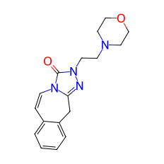 O=c1n(CCN2CCOCC2)nc2n1C=Cc1ccccc1C2